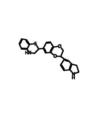 c1ccc2c(c1)NCC(c1ccc3c(c1)OC(c1ccc4c(c1)CCN4)CO3)S2